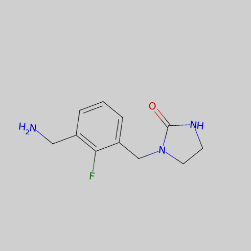 NCc1cccc(CN2CCNC2=O)c1F